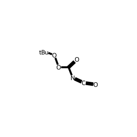 CC(C)(C)OOC(=O)N=C=O